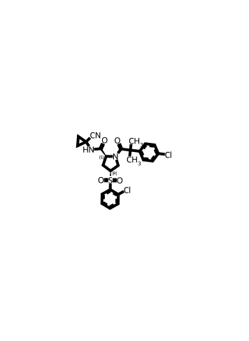 CC(C)(C(=O)N1C[C@H](S(=O)(=O)c2ccccc2Cl)C[C@H]1C(=O)NC1(C#N)CC1)c1ccc(Cl)cc1